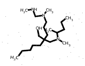 CCCCCC(CO)(CCCN(C)CNC)CN(C)C(C)CCC